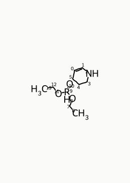 C1=CNCCC1.CCO[PH](=O)OCC